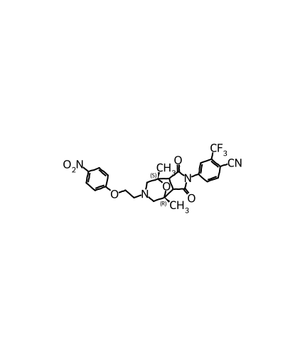 C[C@]12CN(CCOc3ccc([N+](=O)[O-])cc3)C[C@](C)(O1)C1C(=O)N(c3ccc(C#N)c(C(F)(F)F)c3)C(=O)C12